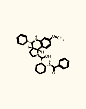 COc1ccc2c(c1)N[C@@H](C1C=CC=CC1)[C@H]1CCN(C(O)[C@H]3CCCC[C@H]3NC(=O)c3ccccc3)[C@@H]21